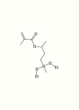 C=C(C)C(=O)OC(C)CC[Si](C)(OCC)OCC